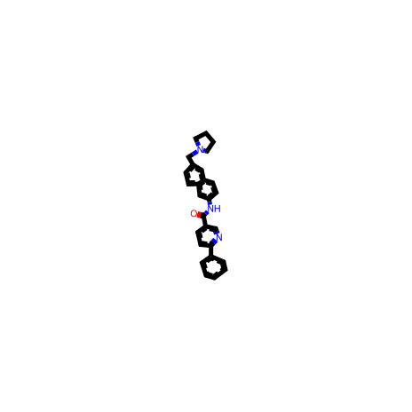 O=C(Nc1ccc2cc(CN3CCCC3)ccc2c1)c1ccc(-c2ccccc2)nc1